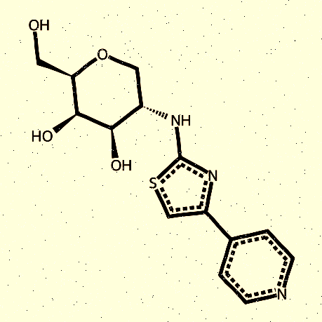 OC[C@H]1OC[C@H](Nc2nc(-c3ccncc3)cs2)[C@@H](O)[C@H]1O